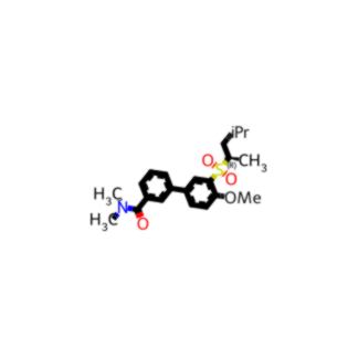 COc1ccc(-c2cccc(C(=O)N(C)C)c2)cc1S(=O)(=O)[C@H](C)CC(C)C